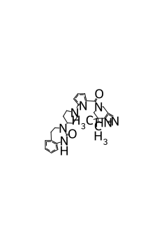 CC1(C)CN(C(=O)c2cccc(N3CCC(N4CCc5ccccc5NC4=O)CC3)n2)Cc2cn[nH]c21